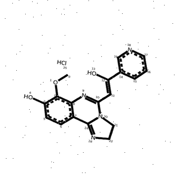 COc1c(O)ccc2c1N=C(/C=C(\O)c1cccnc1)N1CCN=C21.Cl